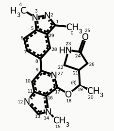 Cc1nn(C)c2ccc(-c3cc4ncn(C)c4c(O[C@H](C)C4CNC(=O)C4)n3)cc12